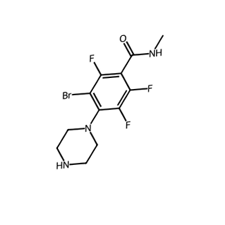 CNC(=O)c1c(F)c(F)c(N2CCNCC2)c(Br)c1F